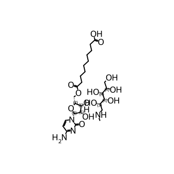 CNC[C@H](O)[C@@H](O)[C@H](O)[C@H](O)CO.Nc1ccn([C@@H]2O[C@H](COC(=O)CCCCCCCCC(=O)O)[C@@H](O)[C@@H]2O)c(=O)n1